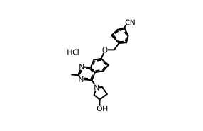 Cc1nc(N2CCC(O)C2)c2ccc(OCc3ccc(C#N)cc3)cc2n1.Cl